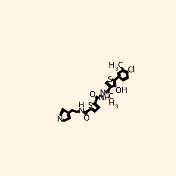 C/C(=N\NC(=O)c1ccc(C(=O)NCCc2ccncc2)s1)c1csc(-c2ccc(Cl)c(C)c2)c1O